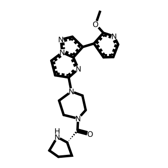 COc1ncccc1-c1cnn2ccc(N3CCN(C(=O)[C@@H]4CCCN4)CC3)nc12